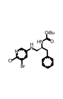 CC(C)COC(=O)N[C@H](CNc1cnc(Cl)c(Br)c1)Cc1ccccc1